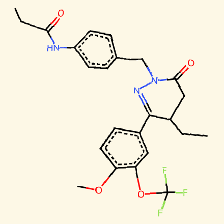 CCC(=O)Nc1ccc(CN2N=C(c3ccc(OC)c(OC(F)(F)F)c3)C(CC)CC2=O)cc1